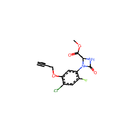 C#CCOc1cc(N2C(=O)NC2C(=O)OC)c(F)cc1Cl